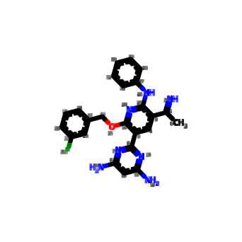 CC(=N)c1cc(-c2nc(N)cc(N)n2)c(OCc2cccc(F)c2)nc1Nc1ccccc1